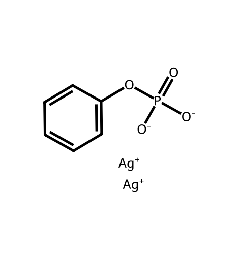 O=P([O-])([O-])Oc1ccccc1.[Ag+].[Ag+]